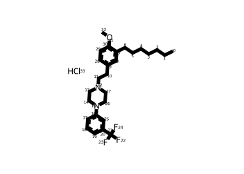 CCCCCCCc1cc(CCN2CCN(c3cccc(C(F)(F)F)c3)CC2)ccc1OC.Cl